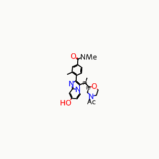 CNC(=O)c1ccc(-c2nc3cc(O)ccn3c2[C@@H](C)[C@@H]2CN(C(C)=O)CCO2)c(C)c1